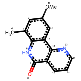 COc1cc(C)c2[nH]c(=O)c3cccnc3c2c1